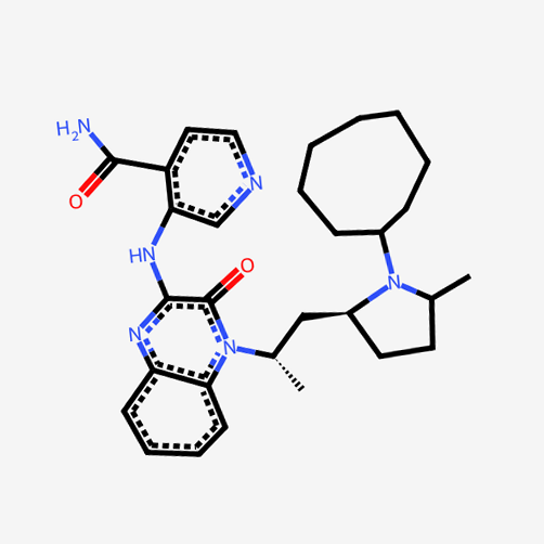 CC1CC[C@@H](C[C@H](C)n2c(=O)c(Nc3cnccc3C(N)=O)nc3ccccc32)N1C1CCCCCCC1